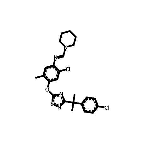 Cc1cc(N=CN2CCCCC2)c(Cl)cc1Oc1nc(C(C)(C)c2ccc(Cl)cc2)ns1